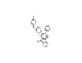 O=C(c1ccc(Cl)cc1)c1c(N2C(=O)c3ccccc3C2=O)sc(C=CCc2ccc(Cl)cc2)c1CO